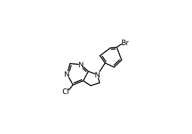 Clc1ncnc2c1CCN2c1ccc(Br)cc1